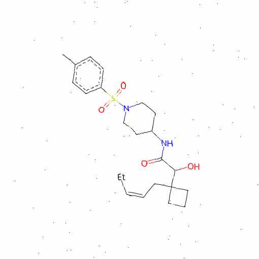 CC/C=C\CC1(C(O)C(=O)NC2CCN(S(=O)(=O)c3ccc(C)cc3)CC2)CCC1